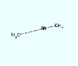 CCCCCCCCCCCCCCCCCCCCCCCCCCCCCCCCCCCCCCCC(=O)OCCCCCCCCCCCCCCCCCCC